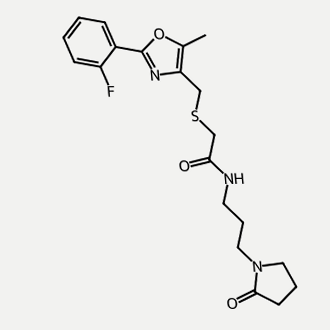 Cc1oc(-c2ccccc2F)nc1CSCC(=O)NCCCN1CCCC1=O